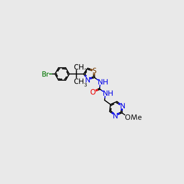 COc1ncc(CNC(=O)Nc2nc(C(C)(C)c3ccc(Br)cc3)cs2)cn1